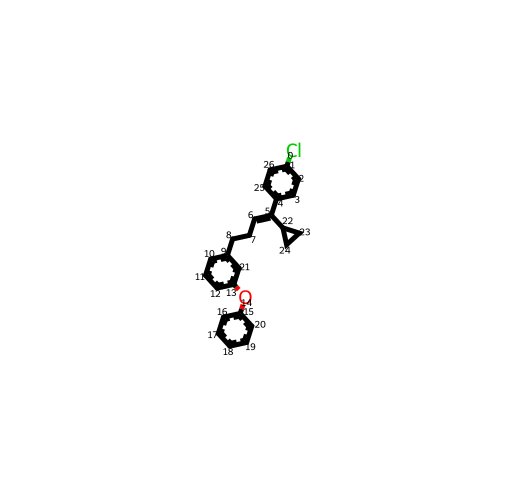 Clc1ccc(/C(=C/CCc2cccc(Oc3ccccc3)c2)C2CC2)cc1